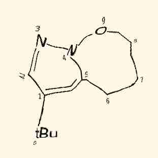 CC(C)(C)c1cnn2c1CCCO2